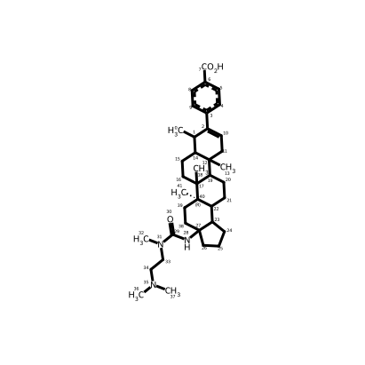 CC1C(c2ccc(C(=O)O)cc2)=CCC2(C)C1CCC1(C)C2CCC2C3CCCC3(NC(=O)N(C)CCN(C)C)CC[C@]21C